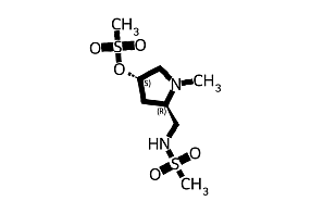 CN1C[C@@H](OS(C)(=O)=O)C[C@@H]1CNS(C)(=O)=O